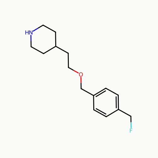 FCc1ccc(COCCC2CCNCC2)cc1